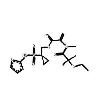 C=C(C(=N)OCC1(S(=O)(=O)Nc2nccs2)CC1)N(C)C(=O)C(C)(C)OCC